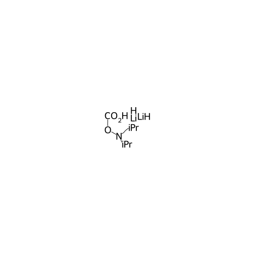 CC(C)N(OC(=O)O)C(C)C.[LiH].[LiH]